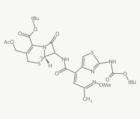 CON=C(C)C=C(C(=O)NC1C(=O)N2C(C(=O)OC(C)(C)C)=C(COC(C)=O)CS[C@@H]12)c1csc(NC(=O)OC(C)(C)C)n1